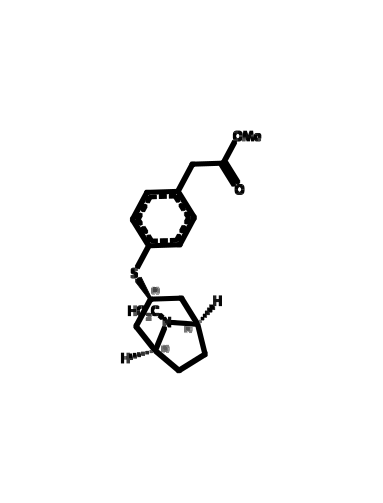 COC(=O)Cc1ccc(S[C@H]2C[C@H]3CC[C@@H](C2)N3C(=O)O)cc1